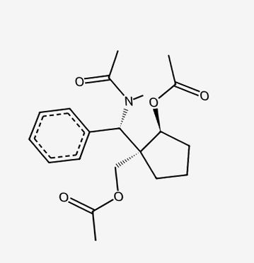 CC(=O)OC[C@@]1([C@H](c2ccccc2)N(C)C(C)=O)CCC[C@@H]1OC(C)=O